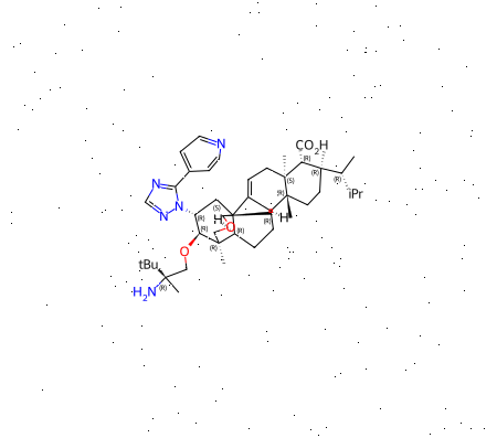 CC(C)[C@@H](C)[C@@]1(C)CC[C@]2(C)[C@H]3CC[C@@H]4C5(C[C@@H](n6ncnc6-c6ccncc6)[C@H](OC[C@](C)(N)C(C)(C)C)[C@@]4(C)CO[C@H]5C)C3=CC[C@@]2(C)[C@@H]1C(=O)O